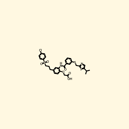 CC(C)c1cnc(CSc2cccc(C(=O)Nc3cc(CCCS(=O)(=O)c4ccc(Cl)cc4)ccc3OCC(=O)O)c2)s1